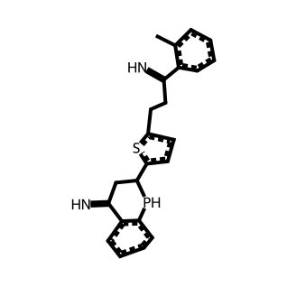 Cc1ccccc1C(=N)CCc1ccc(C2CC(=N)c3ccccc3P2)s1